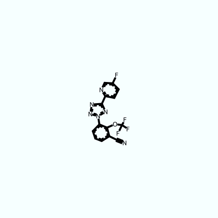 N#Cc1cccc(-n2nnc(-c3ccc(F)cn3)n2)c1OC(F)(F)F